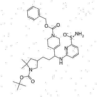 CC(C)(C)OC(=O)N1CC(CCC(Nc2cccc([S+](N)[O-])n2)C2=CCN(C(=O)OCc3ccccc3)CC2)CC1(C)C